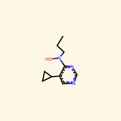 CCCN(O)c1n[c]ncc1C1CC1